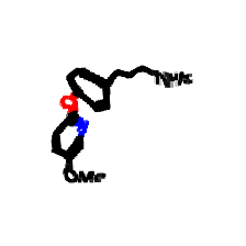 COc1ccc(Oc2ccc(CCCNC(C)=O)cc2)nc1